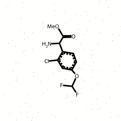 COC(=O)C(N)c1ccc(OC(F)F)cc1Cl